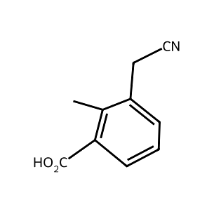 Cc1c(CC#N)cccc1C(=O)O